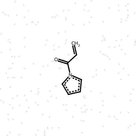 C=CC(=O)n1cccc1